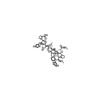 CC(C)C[C@H](NC(=O)[C@H](Cc1ccccc1)NC(=O)[C@H](CCC(N)=O)NC(=O)[C@@H]1CCCN1C(=O)[C@@H](N)Cc1c[nH]cn1)C(=O)N[C@@H](CS)C(=O)N[C@@H](Cc1c[nH]cn1)C(=O)N1CCC[C@H]1C(=O)O